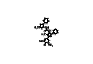 Cc1c(-c2cc(C#N)c(=O)n(C)c2)nn(-c2ccccc2)c1NC(=O)N[C@@H]1C[C@@H](C)C[C@H]1c1ccccc1